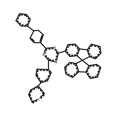 C1=CC(c2ccccc2)CC=C1c1nc(-c2ccc(-c3ccccc3)cc2)nc(-c2ccc3c(c2)C2(c4ccccc4-c4ccccc42)c2ccccc2-3)n1